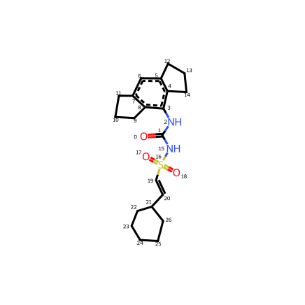 O=C(Nc1c2c(cc3c1CCC3)CCC2)NS(=O)(=O)/C=C/C1CCCCC1